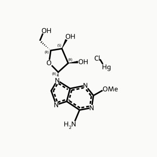 COc1nc(N)c2ncn([C@@H]3O[C@H](CO)[C@@H](O)[C@H]3O)c2n1.[Cl][Hg]